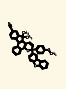 COc1ccc(C2(c3ccc4oc5ccccc5c4c3)C=Cc3c4c(c5ccccc5c3O2)-c2ccc(C#N)cc2C4(C)C)cc1